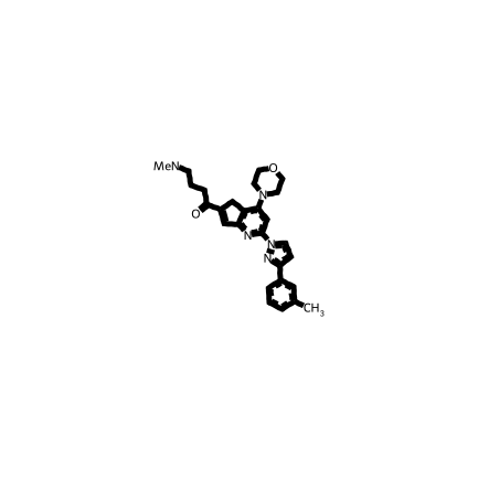 CNCCCC(=O)C1=Cc2nc(-n3ccc(-c4cccc(C)c4)n3)cc(N3CCOCC3)c2C1